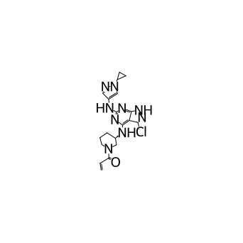 C=CC(=O)N1CCC[C@@H](Nc2nc(Nc3cnn(C4CC4)c3)nc3[nH]nc(Cl)c23)C1